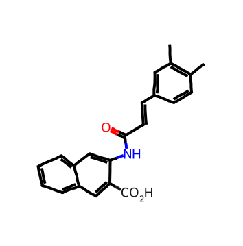 Cc1ccc(/C=C/C(=O)Nc2cc3ccccc3cc2C(=O)O)cc1C